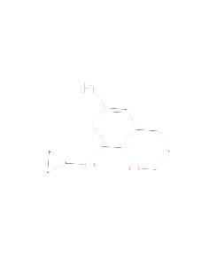 CC(C)c1cc2c(c(OC3CC3)c1)OCCC2